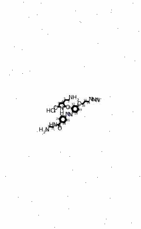 Cl.NCCC1=CC(=O)NC1=O.[N-]=[N+]=NCCCOc1ccc(/N=N/c2ccc(C(=O)NCCN)cc2)cc1